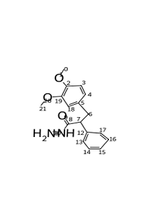 COc1ccc(CC(C(=O)NN)c2ccccc2)cc1OC